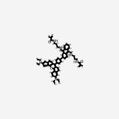 C=C(C)C(=O)NCCCNCc1c2ccccc2c(CNCCCNC(=O)C(=C)C)c2cc(-c3ccc(-c4c5ccc6cc(N(CC)CC)ccc6c5oc5c4ccc4cc(=[N+](CC)CC)ccc45)cc3)ccc12